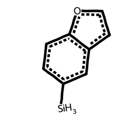 [SiH3]c1ccc2occc2c1